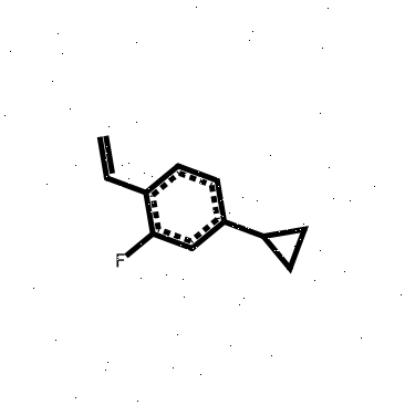 C=Cc1ccc(C2CC2)cc1F